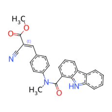 COC(=O)/C(C#N)=C/c1ccc(N(C)C(=O)c2cccc3c2[nH]c2ccccc23)cc1